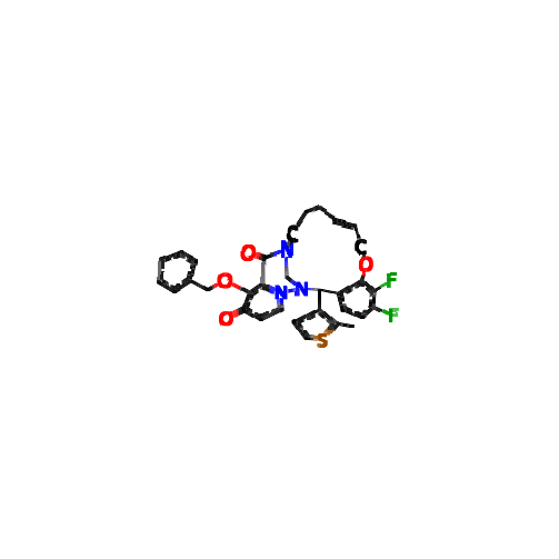 Cc1sccc1C1c2ccc(F)c(F)c2OC/C=C/CCCN2CN1n1ccc(=O)c(OCc3ccccc3)c1C2=O